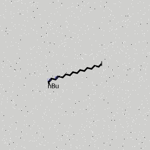 CCCC/C=C\C=C\CCCCCCCCCCCI